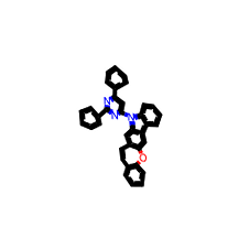 C1=Cc2cc3c(cc2Oc2ccccc21)c1ccccc1n3-c1cc(-c2ccccc2)nc(-c2ccccc2)n1